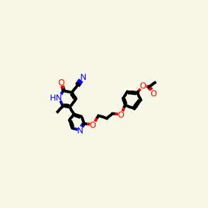 CC(=O)Oc1ccc(OCCCOc2cc(-c3cc(C#N)c(=O)[nH]c3C)ccn2)cc1